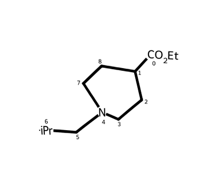 CCOC(=O)C1CCN(C[C](C)C)CC1